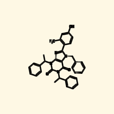 CC(c1ccccc1)n1c(=O)c2c(nc(-c3ccc(O)cc3C(F)(F)F)n2Cc2ccccc2)n(C(C)c2ccccc2)c1=O